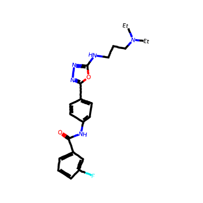 CCN(CC)CCCNc1nnc(-c2ccc(NC(=O)c3cccc(F)c3)cc2)o1